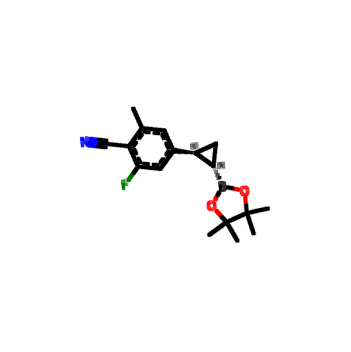 Cc1cc([C@H]2C[C@@H]2B2OC(C)(C)C(C)(C)O2)cc(F)c1C#N